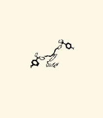 COCOC(COC(=O)c1ccc(I)cc1)COC(=O)c1ccc(I)cc1